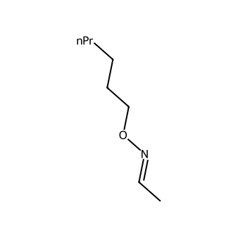 CC=NOCCCCCC